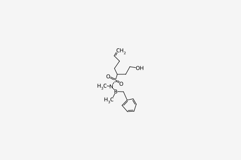 C=CCCC(CCO)S(=O)(=O)N(C)B(C)Cc1ccccc1